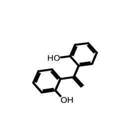 C=C(c1ccccc1O)c1ccccc1O